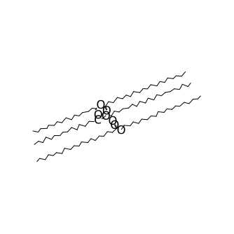 CCCCCCCCCCCCCCCCCCCC(=O)OC(=O)CCCCCCCCCCCCCCC.CCCCCCCCCCCCCCCCCCCC(=O)OCCCCCCCCCCCCCCCCC.CCCCCCCCCCCCCCCCCCCOC(=O)CCCCCCCCCCCCCCCCCCC